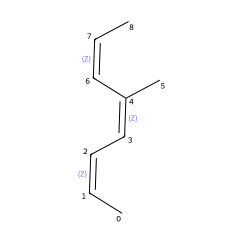 C\C=C/C=C(C)\C=C/C